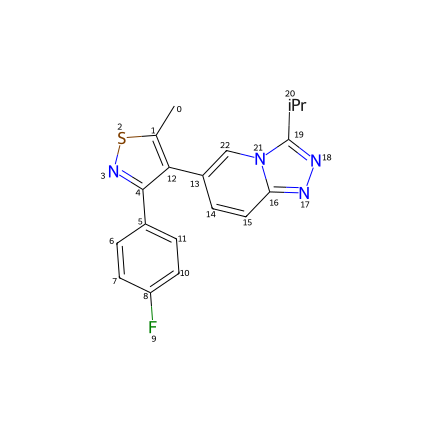 Cc1snc(-c2ccc(F)cc2)c1-c1ccc2nnc(C(C)C)n2c1